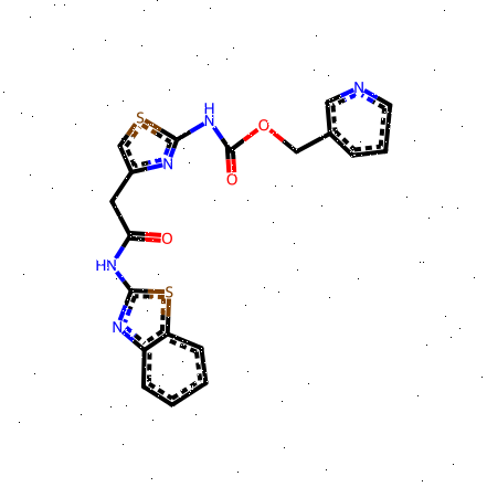 O=C(Cc1csc(NC(=O)OCc2cccnc2)n1)Nc1nc2ccccc2s1